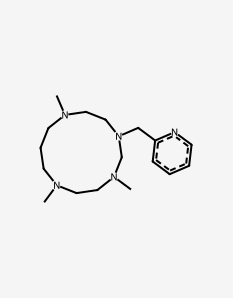 CN1CCCN(C)CCN(Cc2ccccn2)CN(C)CC1